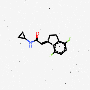 O=C(C=C1CCc2c(F)ccc(F)c21)NC1CC1